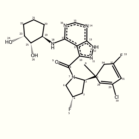 CC1([C@H]2C[C@H](F)CN2C(=O)c2n[nH]c3ncnc(N[C@@H]4CCC[C@@H](O)[C@H]4O)c23)C=C(Cl)C=C(F)C1